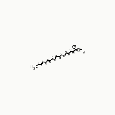 CCC=CCC=CCC=CCCCCCCCC(C)=O